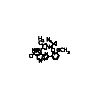 COc1cccc(-c2cn3ncc(C(N)=O)c(NC4CN(C(=O)C5(C#N)CC5)CC4C)c3n2)n1